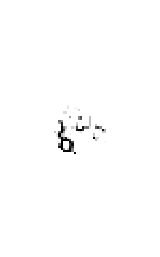 Cc1ccc2nc(C(F)F)n(-c3cc(N4CCOCC4)nc([S+](C)[O-])n3)c2c1